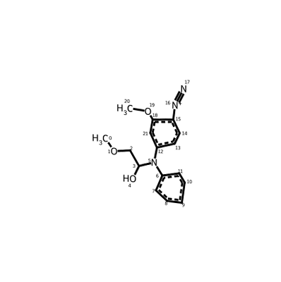 COCC(O)N(c1ccccc1)c1ccc([N+]#N)c(OC)c1